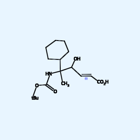 CC(C)(C)OC(=O)NC(C)(C(O)/C=C/C(=O)O)C1CCCCC1